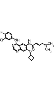 CN(C)CC=CC(=O)Nc1cc2c(Nc3ccc(F)c(Cl)c3)ncnc2cc1OC1CCC1